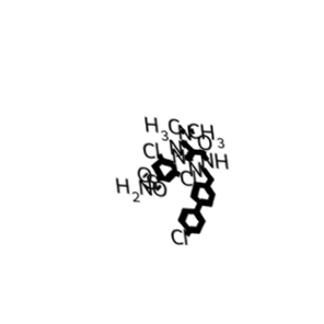 CN(C)c1nn(-c2c(Cl)cc(S(N)(=O)=O)cc2Cl)c2nc(Cc3ccc(-c4ccc(Cl)cc4)cc3)[nH]c(=O)c12